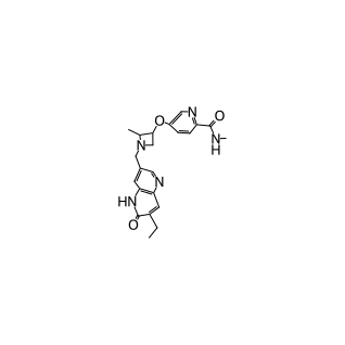 CCc1cc2ncc(CN3CC(Oc4ccc(C(=O)NC)nc4)C3C)cc2[nH]c1=O